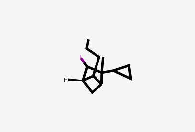 CCCC1C2C[C@@H]1C(I)C2(C)C1CC1